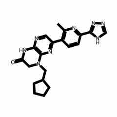 Cc1nc(-c2nnc[nH]2)ccc1-c1cnc2c(n1)N(CC1CCCC1)CC(=O)N2